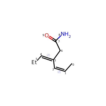 C/C=C\C(=C/CC)CC(N)=O